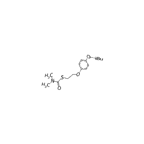 CCC(C)Oc1ccc(OCCSC(=O)N(C)C)cc1